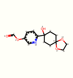 O=COc1ccc(C2(O)CCC3(CC2)OCCO3)nc1